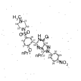 CCCOc1ccc(S(=O)(=O)N2CCN(C)CC2)cc1-c1nc2c(CCC)n(-c3ccc([N+](=O)[O-])cc3)nc2c(=O)[nH]1